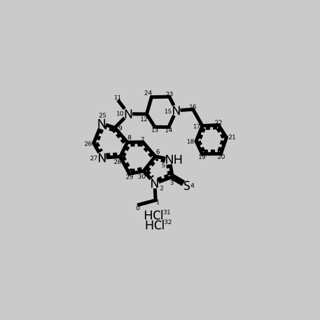 CCn1c(=S)[nH]c2cc3c(N(C)C4CCN(Cc5ccccc5)CC4)ncnc3cc21.Cl.Cl